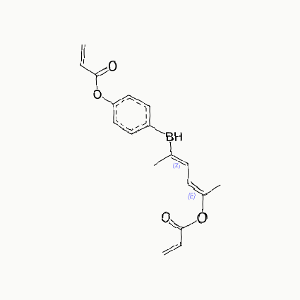 C=CC(=O)O/C(C)=C/C=C(\C)Bc1ccc(OC(=O)C=C)cc1